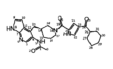 CC(=O)Nc1cnc2[nH]ccc2c1C[C@@H]1CCCN(C(=O)c2cc(C(=O)C3CCCCC3)c[nH]2)C1